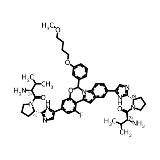 COCCCCOc1cccc(C2Oc3cc(-c4cnc([C@@H]5CCCN5C(=O)[C@@H](N)C(C)C)[nH]4)cc(F)c3-c3cc4cc(-c5cnc([C@@H]6CCCN6C(=O)[C@@H](N)C(C)C)[nH]5)ccc4n32)c1